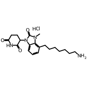 Cl.Cn1c(=O)n(C2CCC(=O)NC2=O)c2cccc(CCCCCCCN)c21